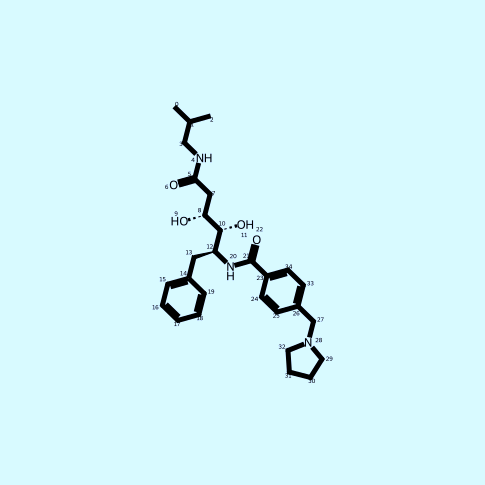 CC(C)CNC(=O)C[C@@H](O)[C@H](O)[C@H](Cc1ccccc1)NC(=O)c1ccc(CN2CCCC2)cc1